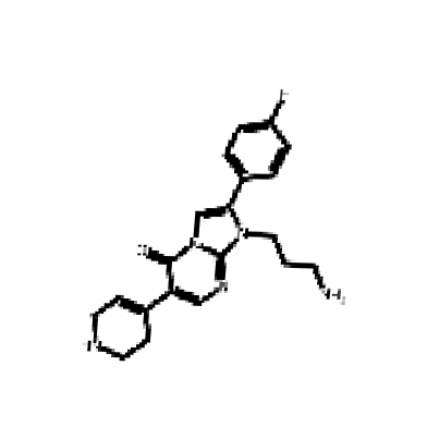 NCCCn1c(-c2ccc(F)cc2)cn2c(=O)c(C3=CCNCC3)cnc12